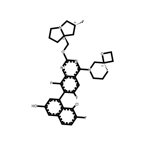 Oc1cc(-c2c(F)cc3c(N4CCC[C@]5(CCO5)C4)nc(OC[C@@]45CCCN4C[C@H](F)C5)nc3c2F)c2c(Cl)c(F)ccc2c1